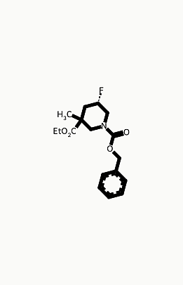 CCOC(=O)C1(C)C[C@H](F)CN(C(=O)OCc2ccccc2)C1